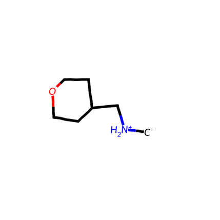 [CH2-][NH2+]CC1CCOCC1